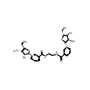 C[C@H]1[C@@H](O)[C@H]([n+]2cccc(C(=O)NCCNC(=O)c3ccc[n+]([C@@H]4O[C@H](CO)[C@@H](O)[C@H]4O)c3)c2)O[C@@H]1CO